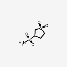 NS(=O)(=O)C1CCS(=O)(=O)C1